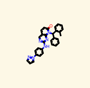 Cc1ccccc1C(c1ccccc1)n1c(=O)ccc2cnc(Nc3ccc(-n4cccn4)cc3)nc21